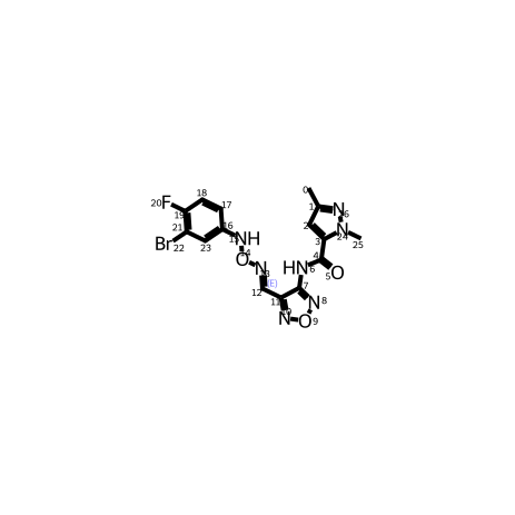 Cc1cc(C(=O)Nc2nonc2/C=N/ONc2ccc(F)c(Br)c2)n(C)n1